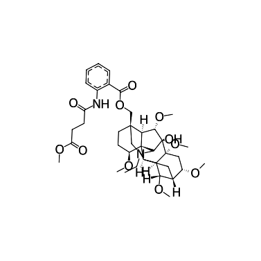 CCN1C[C@]2(COC(=O)c3ccccc3NC(=O)CCC(=O)OC)CC[C@H](OC)[C@]34C1[C@](O)([C@@H](OC)[C@H]23)[C@@]1(OC)C[C@H](OC)[C@H]2C[C@@H]4[C@@H]1[C@H]2OC